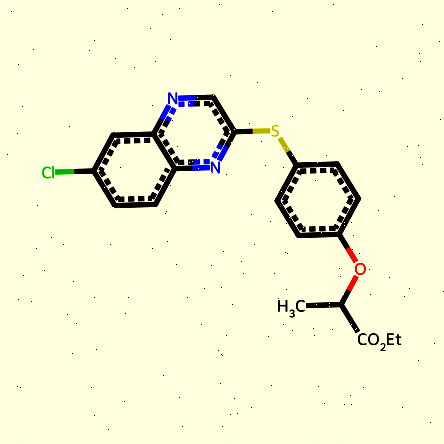 CCOC(=O)C(C)Oc1ccc(Sc2cnc3cc(Cl)ccc3n2)cc1